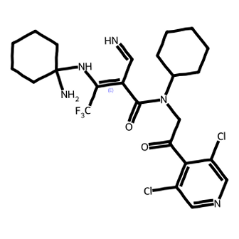 N=C/C(C(=O)N(CC(=O)c1c(Cl)cncc1Cl)C1CCCCC1)=C(\NC1(N)CCCCC1)C(F)(F)F